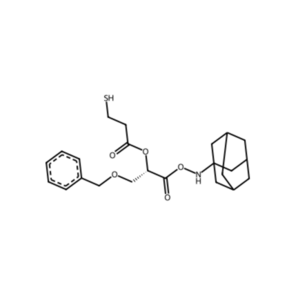 O=C(CCS)O[C@@H](COCc1ccccc1)C(=O)ONC12CC3CC(CC(C3)C1)C2